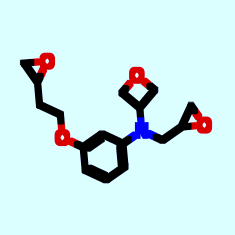 c1cc(OCCC2CO2)cc(N(CC2CO2)C2COC2)c1